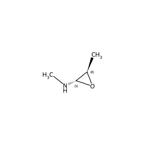 CN[C@H]1O[C@@H]1C